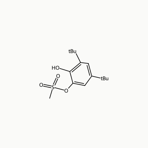 CC(C)(C)c1cc(OS(C)(=O)=O)c(O)c(C(C)(C)C)c1